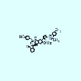 COc1cc(Cl)c(C(=O)N[C@H](Cc2ccc(C#N)cc2)CN2C(=O)c3ccccc3C2=O)cc1-c1ccc(CN[C@H](C)c2ccc(C)cc2)o1